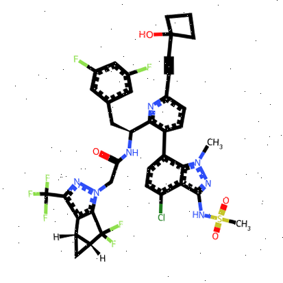 Cn1nc(NS(C)(=O)=O)c2c(Cl)ccc(-c3ccc(C#CC4(O)CCC4)nc3[C@H](Cc3cc(F)cc(F)c3)NC(=O)Cn3nc(C(F)(F)F)c4c3C(F)(F)[C@@H]3C[C@H]43)c21